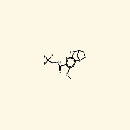 COc1cc2c(nc1C(=O)NCC(F)(F)F)NC1CCN2C1